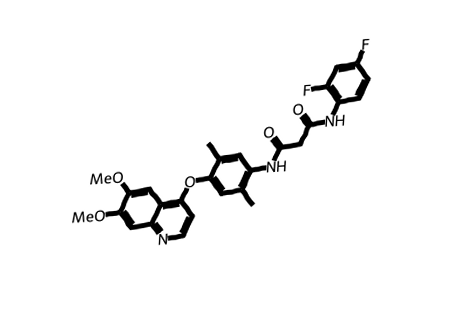 COc1cc2nccc(Oc3cc(C)c(NC(=O)CC(=O)Nc4ccc(F)cc4F)cc3C)c2cc1OC